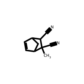 CC1(C#N)C2C=CC(C2)C1C#N